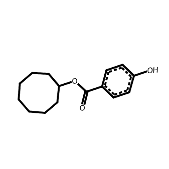 O=C(OC1CCCCCCC1)c1ccc(O)cc1